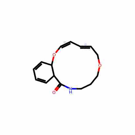 O=C1NCCCOC/C=C/C=C\OC2C=CC=CC12